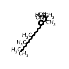 CC(=O)N1c2ccc(CCCC/C=C(\C)CC/C=C(\C)CCC=C(C)C)cc2C(C)=CC1(C)C